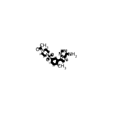 CC(=O)N1CCN(S(=O)(=O)c2ccc(C)c(-c3cnc4c(N)ncnn34)c2)CC1